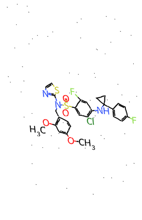 COc1ccc(CN(c2nccs2)S(=O)(=O)c2cc(Cl)c(NC3(c4ccc(F)cc4)CC3)cc2F)c(OC)c1